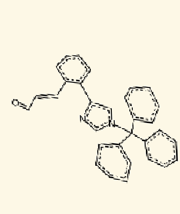 O=C/C=C/c1ccccc1-c1cn(C(c2ccccc2)(c2ccccc2)c2ccccc2)cn1